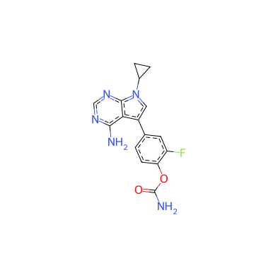 NC(=O)Oc1ccc(-c2cn(C3CC3)c3ncnc(N)c23)cc1F